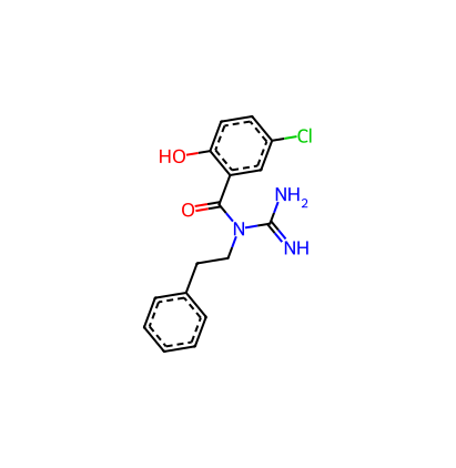 N=C(N)N(CCc1ccccc1)C(=O)c1cc(Cl)ccc1O